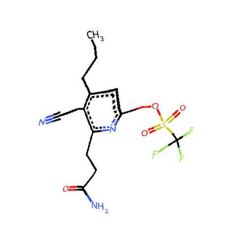 CCCc1cc(OS(=O)(=O)C(F)(F)F)nc(CCC(N)=O)c1C#N